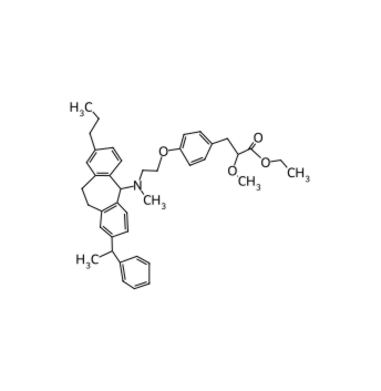 CCCc1ccc2c(c1)CCc1cc(C(C)c3ccccc3)ccc1C2N(C)CCOc1ccc(CC(OC)C(=O)OCC)cc1